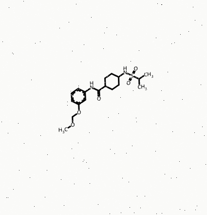 COCOc1cccc(NC(=O)C2CCC(NS(=O)(=O)C(C)C)CC2)c1